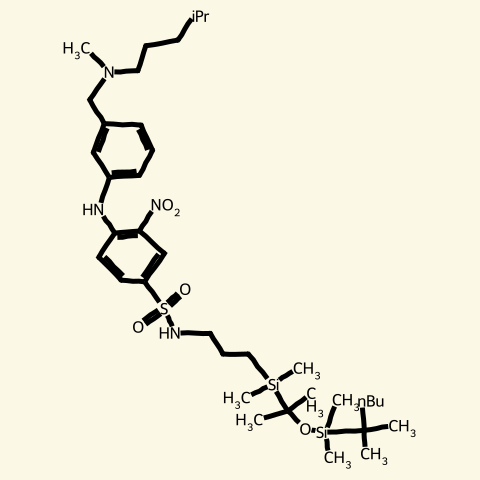 CCCCC(C)(C)[Si](C)(C)OC(C)(C)[Si](C)(C)CCCNS(=O)(=O)c1ccc(Nc2cccc(CN(C)CCCC(C)C)c2)c([N+](=O)[O-])c1